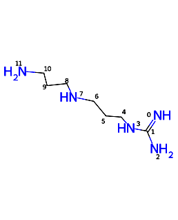 N=C(N)NCCCNCCCN